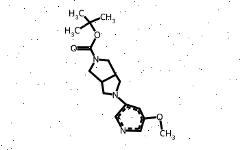 COc1cncc(N2CC3CN(C(=O)OC(C)(C)C)CC3C2)c1